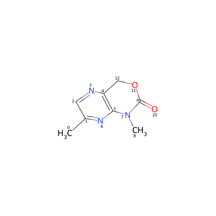 Cc1cnc2c(n1)N(C)C(=O)OC2